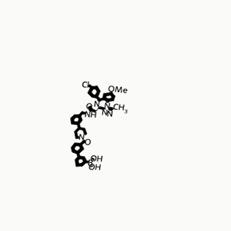 COc1ccc2c(c1)C(c1ccc(Cl)cc1)=N[C@@H](CC(=O)NCc1cccc(C3CCN(C(=O)c4cccc(-c5cccc(B(O)O)c5)c4)CC3)c1)c1nnc(C)n1-2